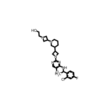 CC(Nc1nc(N2CC(C3CCCN(C4CN(CCO)C4)C3)C2)ncc1Cl)c1ccc(F)cc1Cl